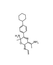 C=C/N=C1/OC(C)(N)C(c2ccc(C3CCCCC3)cc2)=N/C1=C(/C)N